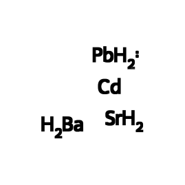 [BaH2].[Cd].[PbH2].[SrH2]